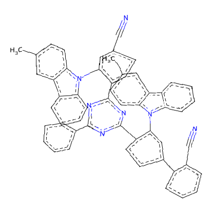 Cc1ccc2c(c1)c1ccccc1n2-c1cc(C#N)ccc1-c1nc(-c2ccccc2)nc(-c2ccc(-c3ccccc3C#N)cc2-n2c3ccccc3c3cc(C)ccc32)n1